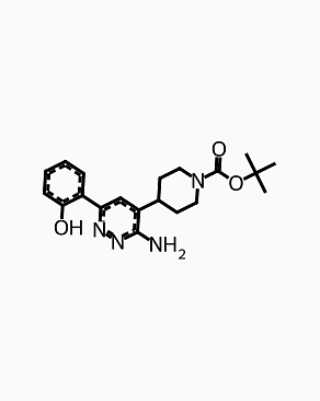 CC(C)(C)OC(=O)N1CCC(c2cc(-c3ccccc3O)nnc2N)CC1